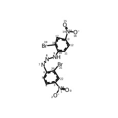 O=[N+]([O-])c1ccc(/N=N\Nc2ccc([N+](=O)[O-])cc2Br)c(Br)c1